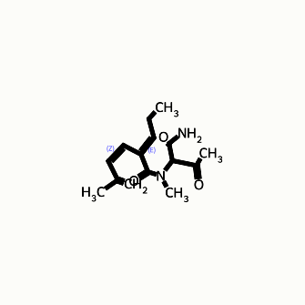 C=C(C)/C=C\C(=C/CC)C(=O)N(C)C(C(C)=O)C(N)=O